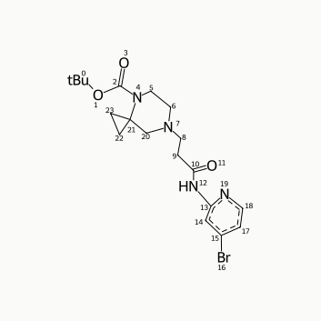 CC(C)(C)OC(=O)N1CCN(CCC(=O)Nc2cc(Br)ccn2)CC12CC2